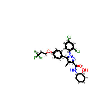 Cc1c(C(=O)N[C@H]2CCCC[C@H]2O)nn(-c2ccc(Cl)cc2Cl)c1-c1ccc(OCCC(F)(F)F)cc1